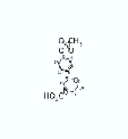 CS(=O)(=O)Oc1ccc([C@H]2CN(C(=O)O)CCO2)cc1